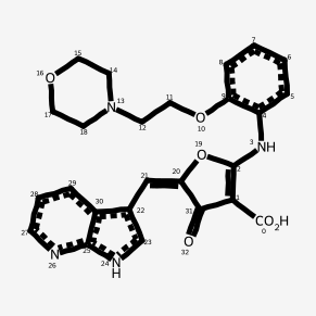 O=C(O)C1=C(Nc2ccccc2OCCN2CCOCC2)OC(=Cc2c[nH]c3ncccc23)C1=O